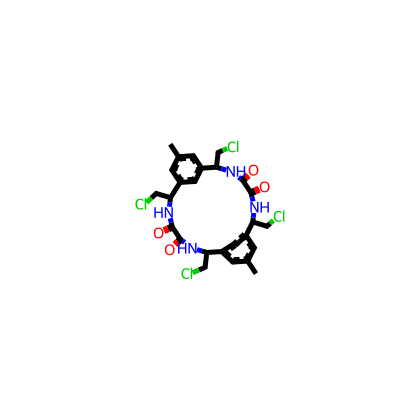 Cc1cc2cc(c1)C(CCl)NC(=O)C(=O)NC(CCl)c1cc(C)cc(c1)C(CCl)NC(=O)C(=O)NC2CCl